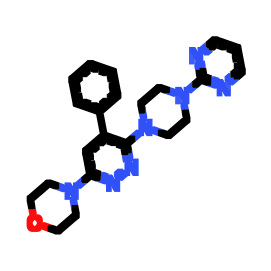 c1ccc(-c2cc(N3CCOCC3)nnc2N2CCN(c3ncccn3)CC2)cc1